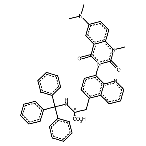 CN(C)c1ccc2c(c1)c(=O)n(-c1ccc(C[C@H](NC(c3ccccc3)(c3ccccc3)c3ccccc3)C(=O)O)c3cccnc13)c(=O)n2C